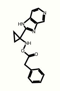 O=C(Cc1ccccc1)ONC1(c2nc3cnccc3[nH]2)CC1